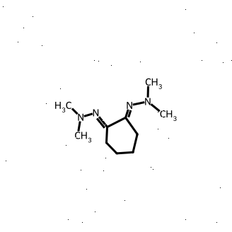 CN(C)N=C1CCCCC1=NN(C)C